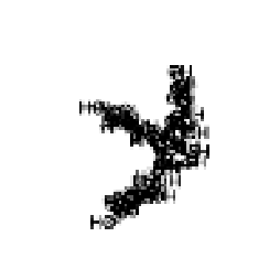 C[C@H](O)[C@@H](NC(=O)CN(CCN(CC(=O)NCCS)CC(=O)N[C@@H](C(=O)Nc1ccn([C@@H]2O[C@H](CO)CC2(F)F)c(=O)n1)[C@H](C)O)CCN(CC(=O)NCCS)CC(=O)N[C@@H](C(=O)Nc1ccn([C@@H]2O[C@H](CO)CC2(F)F)c(=O)n1)[C@H](C)O)C(=O)Nc1ccn([C@@H]2O[C@H](CO)CC2(F)F)c(=O)n1